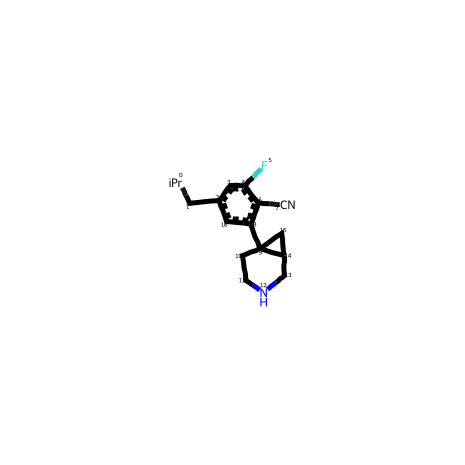 CC(C)Cc1cc(F)c(C#N)c(C23CCNCC2C3)c1